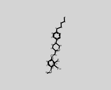 CCCCCc1ccc(C2CCC(COc3ccc(OC)c(F)c3F)OC2)cc1